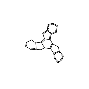 C1=CCC2C(=C1)CC1C3=C(Cc4ccccc43)C3=c4ccccc4=CC3=C21